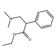 CCOC(=O)C(CN(C)C)c1ccccc1